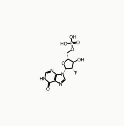 O=c1[nH]cnc2c1ncn2[C@@H]1O[C@H](COP(=O)(O)O)[C@@H](O)[C@@H]1F